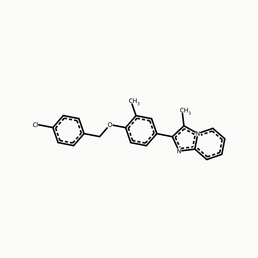 Cc1cc(-c2nc3ccccn3c2C)ccc1OCc1ccc(Cl)cc1